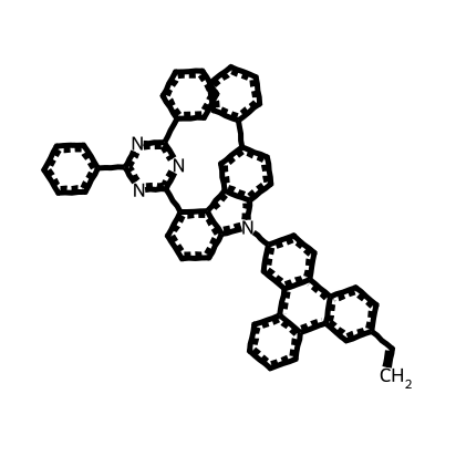 C=Cc1ccc2c3ccc(-n4c5ccc(-c6ccccc6)cc5c5c(-c6nc(-c7ccccc7)nc(-c7ccccc7)n6)cccc54)cc3c3ccccc3c2c1